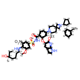 CCOc1nc2[nH]ccc2cc1Oc1cc(N2CCC3(CC2)CN([C@@H]2CCC[C@@H]2c2ccccc2C(C)C)C3)ccc1C(=O)NS(=O)(=O)c1cc2c(c([N+](=O)[O-])c1)N[C@@H]([C@H]1CC[C@](C)(O)CC1)CO2